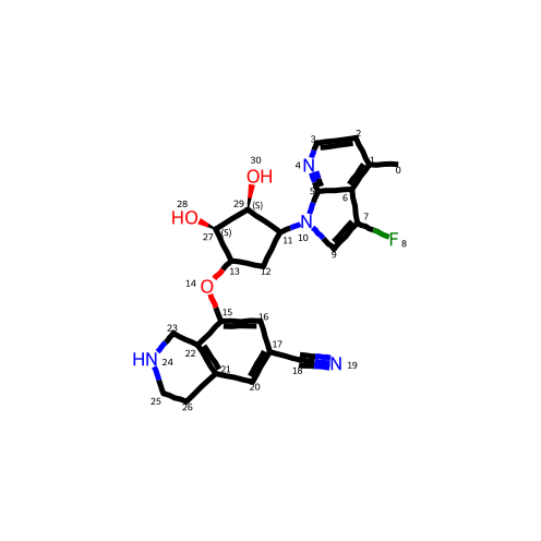 Cc1ccnc2c1c(F)cn2C1CC(Oc2cc(C#N)cc3c2CNCC3)[C@@H](O)[C@H]1O